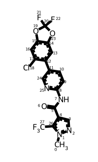 Cn1ncc(C(=O)Nc2ccc(-c3cc4c(cc3Cl)OC(F)(F)O4)cn2)c1C(F)(F)F